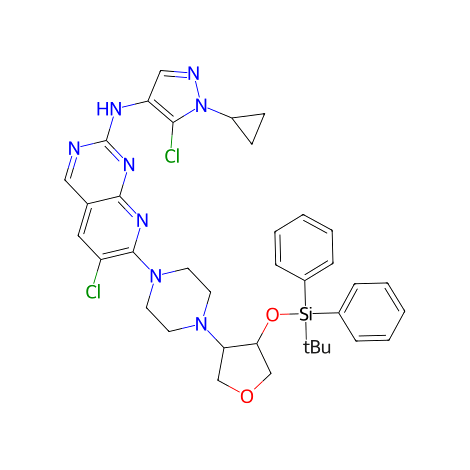 CC(C)(C)[Si](OC1COCC1N1CCN(c2nc3nc(Nc4cnn(C5CC5)c4Cl)ncc3cc2Cl)CC1)(c1ccccc1)c1ccccc1